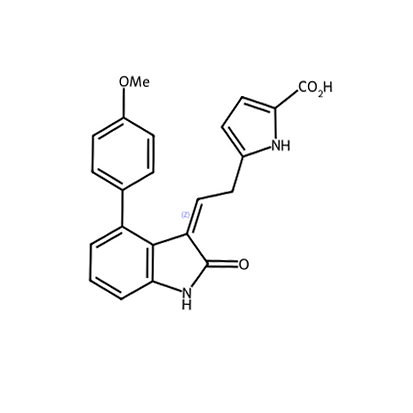 COc1ccc(-c2cccc3c2/C(=C/Cc2ccc(C(=O)O)[nH]2)C(=O)N3)cc1